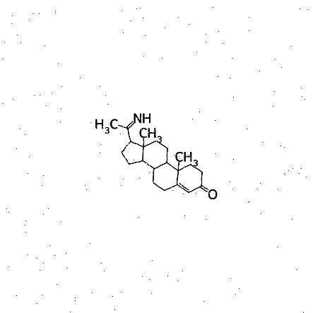 CC(=N)C1CCC2C3CCC4=CC(=O)CCC4(C)C3CCC12C